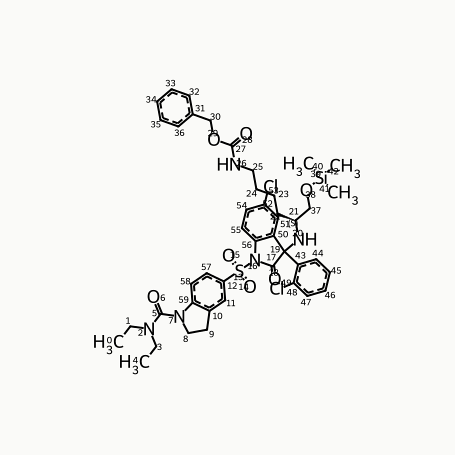 CCN(CC)C(=O)N1CCc2cc(S(=O)(=O)N3C(=O)C(N[C@@H](CCCCNC(=O)OCc4ccccc4)CO[Si](C)(C)C)(c4ccccc4Cl)c4cc(Cl)ccc43)ccc21